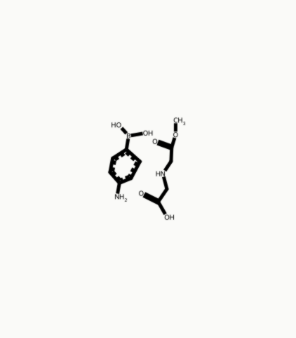 COC(=O)CNCC(=O)O.Nc1ccc(B(O)O)cc1